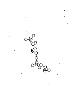 FC1(F)c2cc(-c3ccc(-c4cc(-c5ccccc5)nc(-c5ccc(-c6ccc7c(c6)C(F)(F)c6ccccc6-7)c6ccccc56)n4)cc3)ccc2-c2ccc(-c3ccc(-c4cc(-c5ccccc5)nc(-c5ccccc5)n4)c4ccccc34)cc21